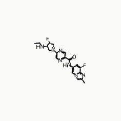 CCN[C@@H]1CN(c2cnc(C(=O)Nc3cc(F)c4nc(C)cn4c3)cn2)C[C@@H]1F